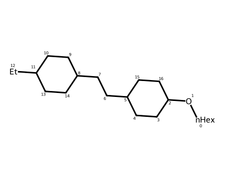 CCCCCCOC1CCC(CCC2CCC(CC)CC2)CC1